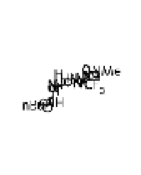 CCCCOC(=O)NCCc1ccnc(NCc2ccc(Nc3ncc(C(F)(F)F)c(Nc4ccccc4C(=O)NC)n3)cc2)n1